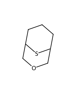 C1CC2COCC(C1)S2